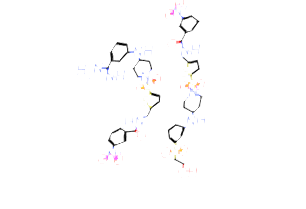 N=C(N)c1cccc(NC2CCN(S(=O)(=O)c3ccc(CNC(=O)c4cccc([N+](=O)[O-])c4)s3)CC2)c1.O=C(NCc1ccc(S(=O)(=O)N2CCC(Nc3cccc(S(=O)(=O)CCO)c3)CC2)s1)c1cccc([N+](=O)[O-])c1